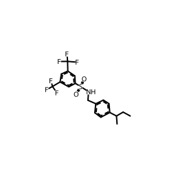 CCC(C)c1ccc(CNS(=O)(=O)c2cc(C(F)(F)F)cc(C(F)(F)F)c2)cc1